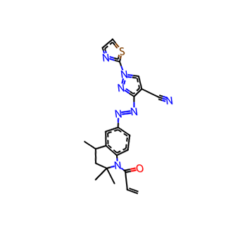 C=CC(=O)N1c2ccc(N=Nc3nn(-c4nccs4)cc3C#N)cc2C(C)CC1(C)C